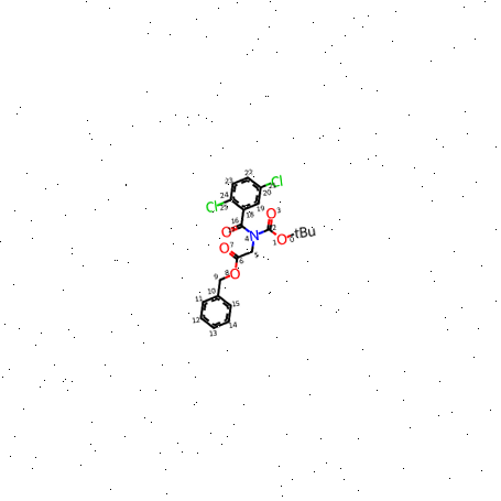 CC(C)(C)OC(=O)N(CC(=O)OCc1ccccc1)C(=O)c1cc(Cl)ccc1Cl